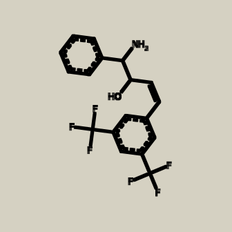 NC(c1ccccc1)C(O)/C=C\c1cc(C(F)(F)F)cc(C(F)(F)F)c1